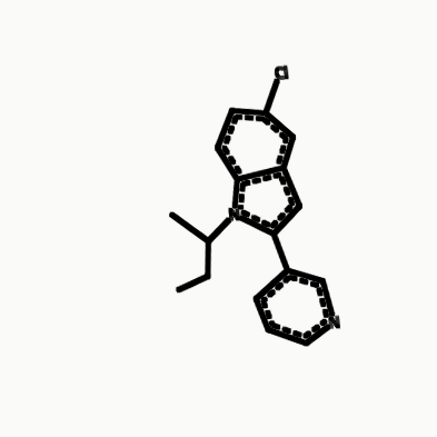 CCC(C)n1c(-c2cccnc2)cc2cc(Cl)ccc21